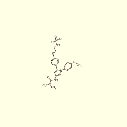 COc1ccc(-n2nc(NC(=O)N(C)C)cc2-c2ccc(OCCNS(C)(=O)=O)cc2)cc1